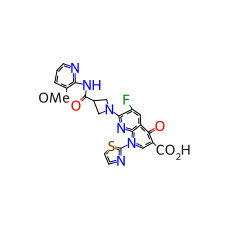 COc1cccnc1NC(=O)C1CN(c2nc3c(cc2F)c(=O)c(C(=O)O)cn3-c2nccs2)C1